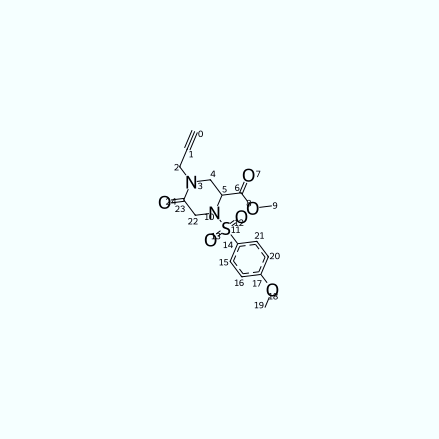 C#CCN1CC(C(=O)OC)N(S(=O)(=O)c2ccc(OC)cc2)CC1=O